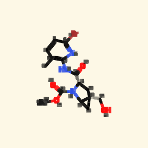 Cc1ccc(Br)nc1NC(=O)[C@@H]1C[C@@]2(CO)CC2N1C(=O)OC(C)(C)C